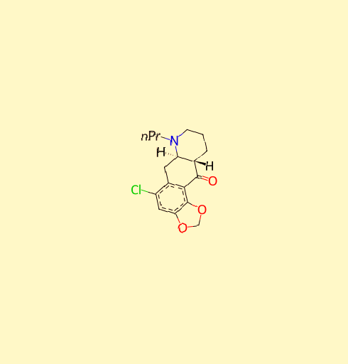 CCCN1CCC[C@@H]2C(=O)c3c(c(Cl)cc4c3OCO4)C[C@H]21